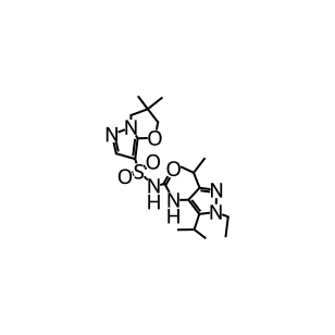 CCn1nc(C(C)C)c(NC(=O)NS(=O)(=O)c2cnn3c2OCC(C)(C)C3)c1C(C)C